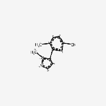 Cc1ccc(Cl)cc1-c1ccnn1C